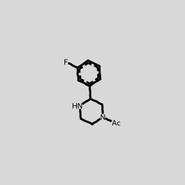 CC(=O)N1CCNC(c2cccc(F)c2)C1